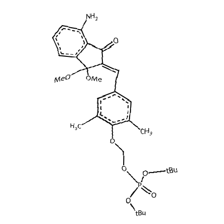 COC1(OC)C(=Cc2cc(C)c(OCOP(=O)(OC(C)(C)C)OC(C)(C)C)c(C)c2)C(=O)c2c(N)cccc21